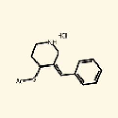 CC(=O)SC1CCNC/C1=C\c1ccccc1.Cl